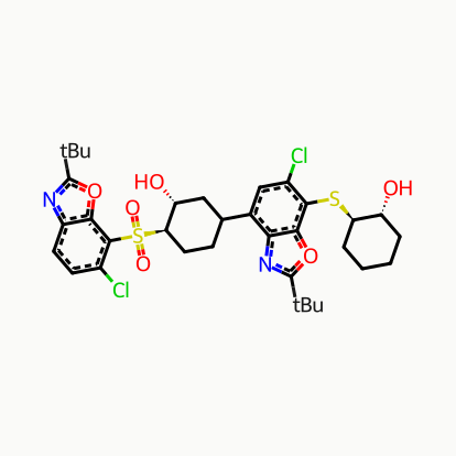 CC(C)(C)c1nc2ccc(Cl)c(S(=O)(=O)[C@@H]3CCC(c4cc(Cl)c(S[C@@H]5CCCC[C@H]5O)c5oc(C(C)(C)C)nc45)C[C@H]3O)c2o1